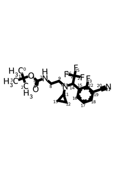 CC(C)(C)OC(=O)NCCN(C1CC1)C(c1cccc(C#N)c1F)C(F)(F)F